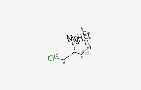 CC/C=C\CCCl.[MgH2]